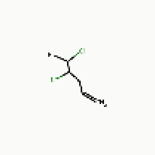 C=CCC(Cl)C(Cl)CC